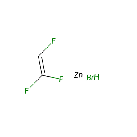 Br.FC=C(F)F.[Zn]